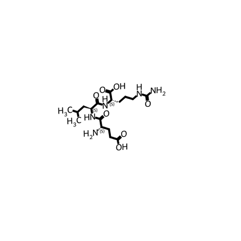 CC(C)C[C@H](NC(=O)[C@@H](N)CCC(=O)O)C(=O)N[C@@H](CCCNC(N)=O)C(=O)O